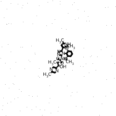 COc1cccc(OC)c1-n1c(NS(=O)(=O)[C@@H](C)[C@H](O)c2cnc(C)cn2)nnc1-c1cc(C)[nH]n1